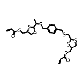 C=CC(=O)SCC1CSC(CSCc2ccc(CSC(C)C3SCC(CSC(=O)C=C)S3)cc2)S1